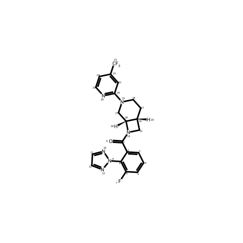 O=C(c1cccc(F)c1-n1nccn1)N1C[C@H]2CCN(c3cc(C(F)(F)F)ccn3)C[C@H]21